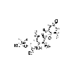 CCC(CO[Si](C)(C)C(C)(C)C)Nc1cc(C)nc(Oc2c(C)cc(Cl)cc2C)c1O